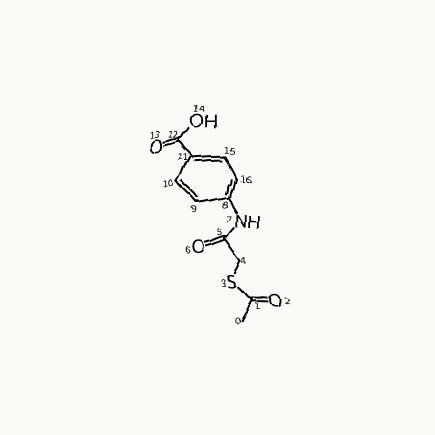 CC(=O)SCC(=O)Nc1ccc(C(=O)O)cc1